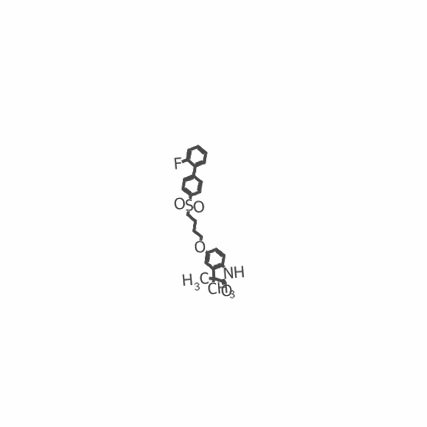 CC1(C)C(=O)Nc2ccc(OCCCCS(=O)(=O)c3ccc(-c4ccccc4F)cc3)cc21